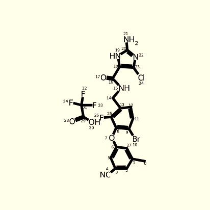 Cc1cc(C#N)cc(Oc2c(Br)ccc(CNC(=O)c3[nH]c(N)nc3Cl)c2F)c1.O=C(O)C(F)(F)F